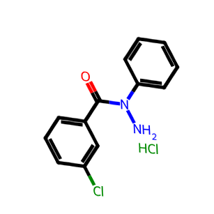 Cl.NN(C(=O)c1cccc(Cl)c1)c1ccccc1